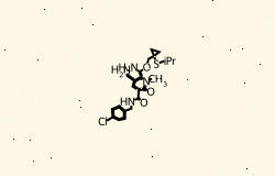 CC(C)SC1(CO/C(N)=c2/c(=C\N)cc(C(=O)NCc3ccc(Cl)cc3)c(=O)n2C)CC1